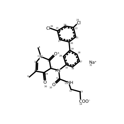 CC1=CN(C)C(=O)C(N(C(=O)NCCC(=O)[O-])c2cccc(-c3cc(Cl)cc(Cl)c3)c2)C1=O.[Na+]